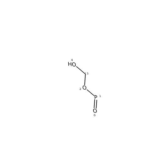 O=PO[CH]O